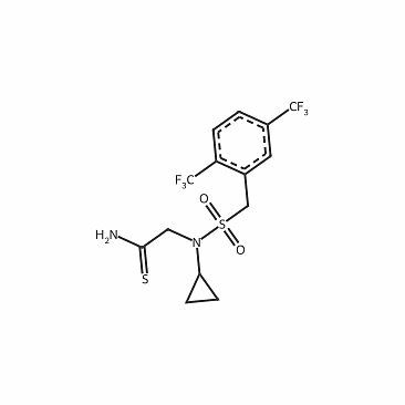 NC(=S)CN(C1CC1)S(=O)(=O)Cc1cc(C(F)(F)F)ccc1C(F)(F)F